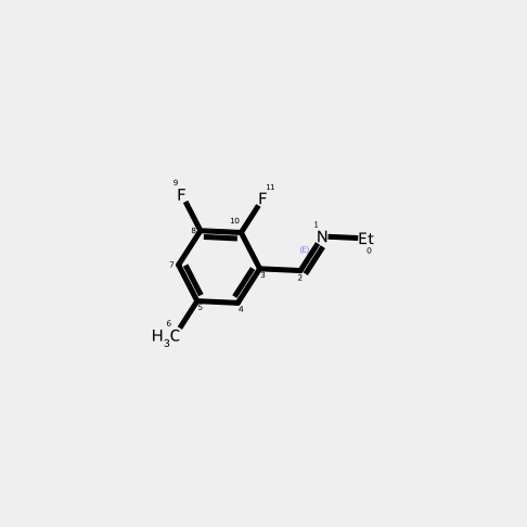 CC/N=C/c1cc(C)cc(F)c1F